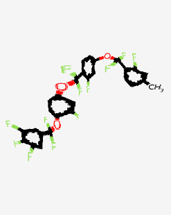 Cc1ccc(C(F)(F)Oc2ccc(C(F)(F)Oc3ccc(OC(F)(F)c4cc(F)c(F)c(F)c4)c(F)c3)c(F)c2)c(F)c1